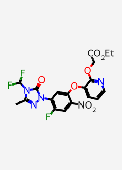 CCOC(=O)COc1ncccc1Oc1cc(-n2nc(C)n(C(F)F)c2=O)c(F)cc1[N+](=O)[O-]